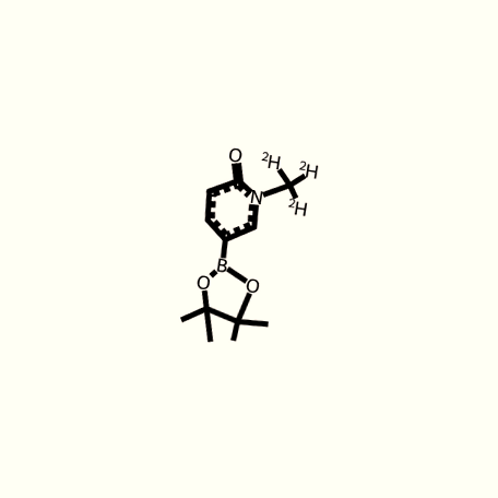 [2H]C([2H])([2H])n1cc(B2OC(C)(C)C(C)(C)O2)ccc1=O